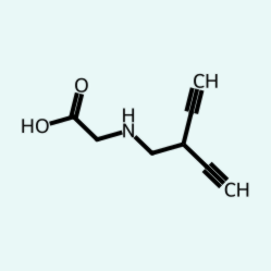 C#CC(C#C)CNCC(=O)O